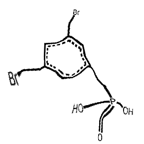 O=P(O)(O)Cc1cc(Br)cc(Br)c1